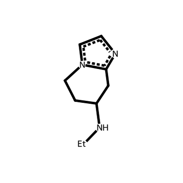 CCNC1CCn2ccnc2C1